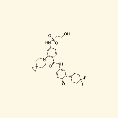 O=C(Nc1ccc(=O)n(N2CCC(F)(F)CC2)c1)c1ccc(NS(=O)(=O)CCO)cc1N1CCC2(CC1)CC2